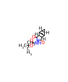 CC(C)(C)OC(=O)NN1C(=O)[C@@H]2C3C=CC([C@@H]4C[C@@H]34)[C@@H]2C1=O